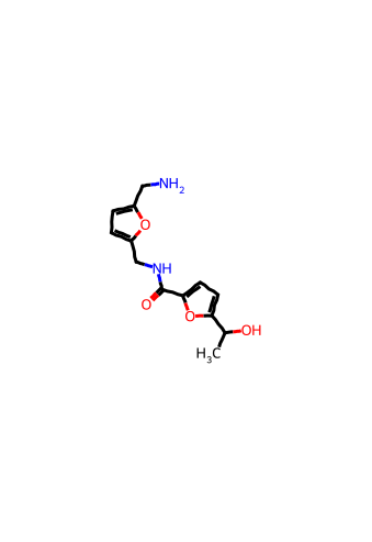 CC(O)c1ccc(C(=O)NCc2ccc(CN)o2)o1